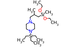 CCO[Si](C)(CC(C)CN1CCN([Si](CC)(CC)CC)CC1)OCC